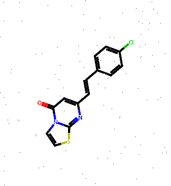 O=c1cc(/C=C/c2ccc(Cl)cc2)nc2sccn12